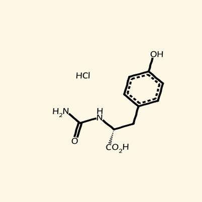 Cl.NC(=O)N[C@H](Cc1ccc(O)cc1)C(=O)O